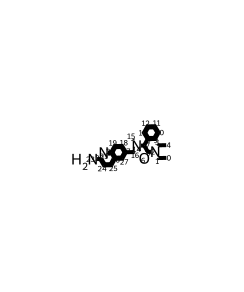 CCN(CC)C(=O)C(c1ccccc1)N(C)Cc1ccc2nc(N)ccc2c1